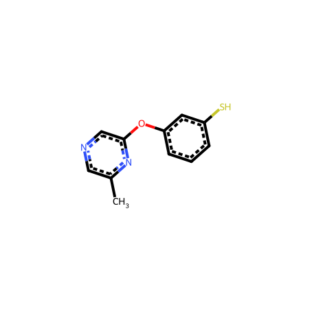 Cc1cncc(Oc2cccc(S)c2)n1